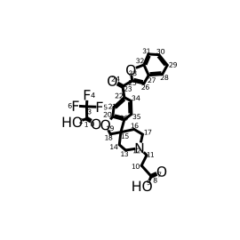 O=C(O)C(F)(F)F.O=C(O)CCN1CCC2(CC1)COc1cc(C(=O)c3cc4ccccc4o3)ccc12